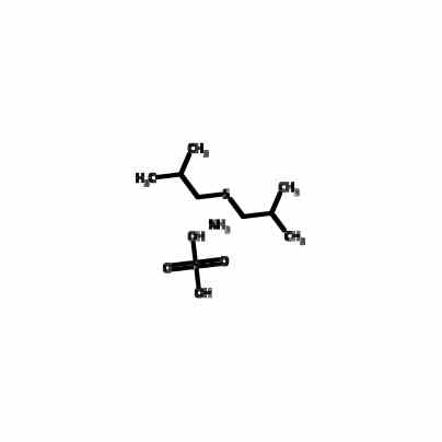 CC(C)CSCC(C)C.N.O=S(=O)(O)O